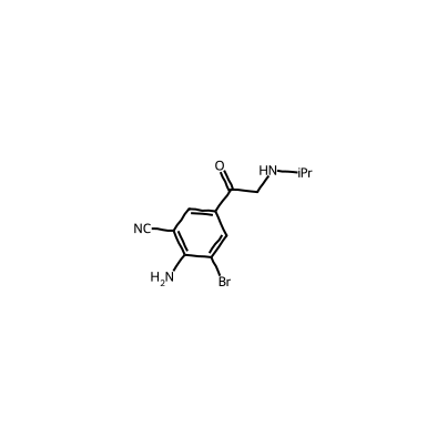 CC(C)NCC(=O)c1cc(Br)c(N)c(C#N)c1